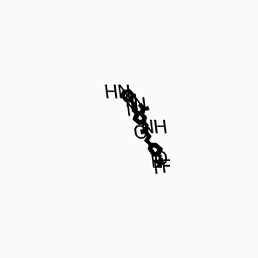 Cc1nc(N2CCNCC2)nc2ccc(NC(=O)CCc3ccc(OC(F)(F)F)cc3)cc12